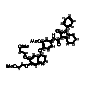 COCCOc1cc2nccc(Oc3ccc(NC(=O)c4c5n(n(-c6ccccc6)c4=O)CCCC5)cc3OC)c2cc1OCCOC